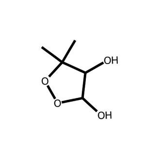 CC1(C)OOC(O)C1O